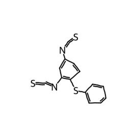 S=C=Nc1ccc(Sc2ccccc2)c(N=C=S)c1